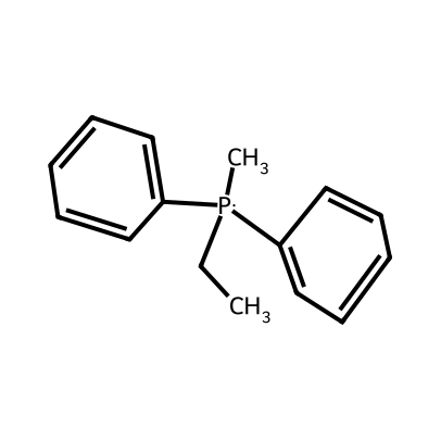 CC[P](C)(c1ccccc1)c1ccccc1